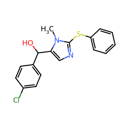 Cn1c(C(O)c2ccc(Cl)cc2)cnc1Sc1ccccc1